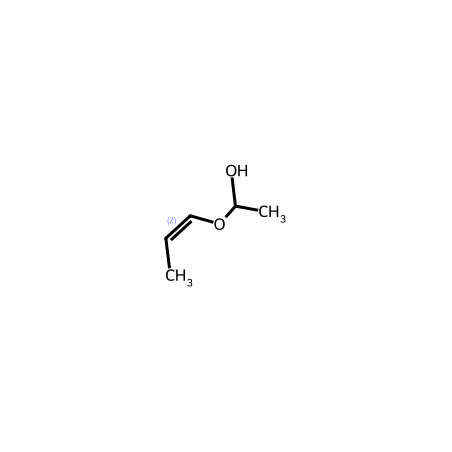 C/C=C\OC(C)O